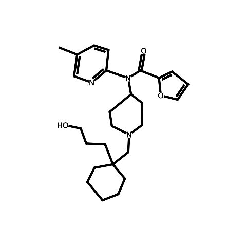 Cc1ccc(N(C(=O)c2ccco2)C2CCN(CC3(CCCO)CCCCC3)CC2)nc1